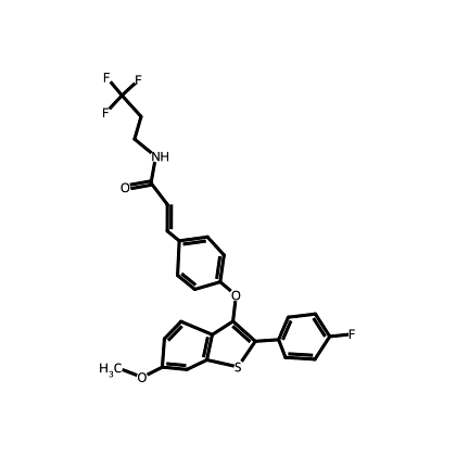 COc1ccc2c(Oc3ccc(/C=C/C(=O)NCCC(F)(F)F)cc3)c(-c3ccc(F)cc3)sc2c1